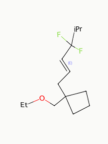 CCOCC1(C/C=C/C(F)(F)C(C)C)CCC1